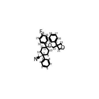 N#C[C@]1(c2ccccc2)CC[C@@](OCC2(c3ccccc3)COC2)(c2ccc(F)cc2)CC1